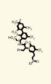 CCN(CC)CCc1cn(C(CC(C)C)C(=O)N[C@@H](CC(=O)O)c2cc(C(F)(F)F)cc(C3=C(C)CC(C)(F)C=C3C)c2F)c(=O)cc1C(F)(F)F